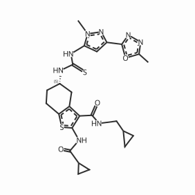 Cc1nnc(-c2cc(NC(=S)N[C@H]3CCc4sc(NC(=O)C5CC5)c(C(=O)NCC5CC5)c4C3)n(C)n2)o1